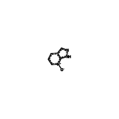 [O-][n+]1cccc2cn[nH]c21